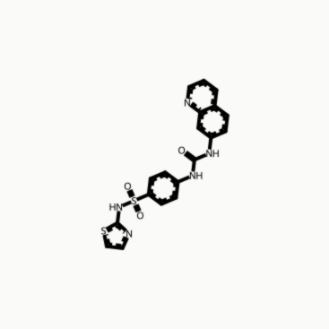 O=C(Nc1ccc(S(=O)(=O)Nc2nccs2)cc1)Nc1ccc2cccnc2c1